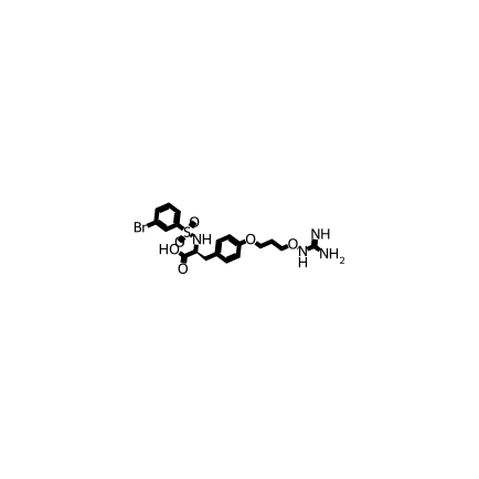 N=C(N)NOCCCOc1ccc(C[C@H](NS(=O)(=O)c2cccc(Br)c2)C(=O)O)cc1